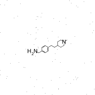 CN1CCC(CCc2ccc(CN)cc2)CC1